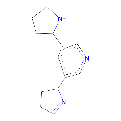 C1=NC(c2cncc(C3CCCN3)c2)CC1